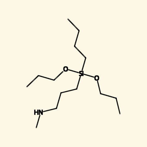 CCCC[Si](CCCNC)(OCCC)OCCC